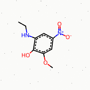 CCNc1cc([N+](=O)[O-])cc(OC)c1O